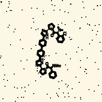 CNC(C(=O)N1CCC[C@H]1c1ncc(-c2ccc(-c3ccc(-c4cnc([C@@H]5CCCN5C(=O)[C@@H](c5ccccc5Cl)N(C)C)[nH]4)cc3)cc2)[nH]1)c1ccccc1